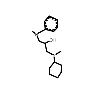 CN(CC(O)CN(C)C1CCCCC1)c1ccccc1